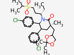 CC[C@@H](CCS(=O)(=O)C(C)C)N1C(=O)[C@@](C)(CC2COC(C)(C)O2)CC(c2cccc(Cl)c2)C1c1ccc(Cl)cc1